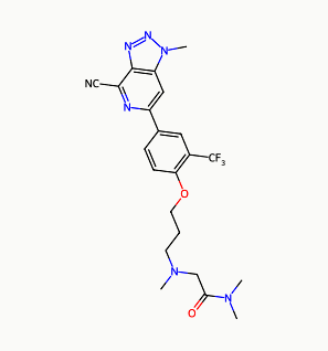 CN(CCCOc1ccc(-c2cc3c(nnn3C)c(C#N)n2)cc1C(F)(F)F)CC(=O)N(C)C